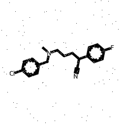 CN(CCCC(C#N)c1ccc(F)cc1)Cc1ccc(Cl)cc1